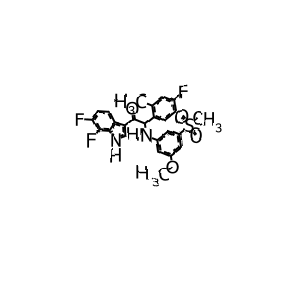 COc1cc(NC(C(=O)c2c[nH]c3c(F)c(F)ccc23)c2ccc(F)cc2C)cc(S(C)(=O)=O)c1